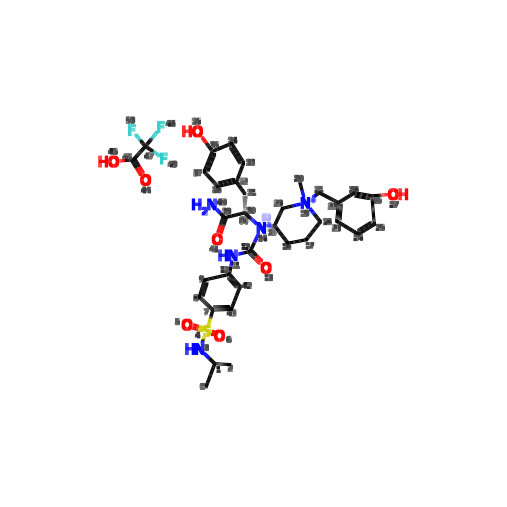 CC(C)NS(=O)(=O)c1ccc(NC(=O)/[N+](=C2\CCC[N+](C)(Cc3cccc(O)c3)C2)[C@@H](Cc2ccc(O)cc2)C(N)=O)cc1.O=C(O)C(F)(F)F